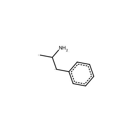 [CH2]C(N)[CH]c1ccccc1